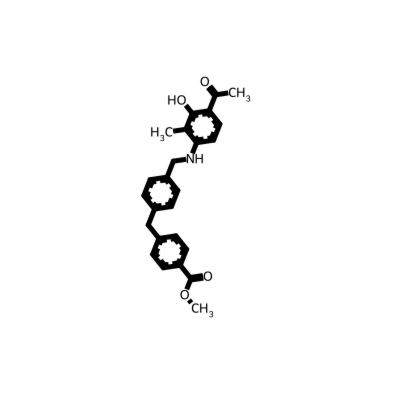 COC(=O)c1ccc(Cc2ccc(CNc3ccc(C(C)=O)c(O)c3C)cc2)cc1